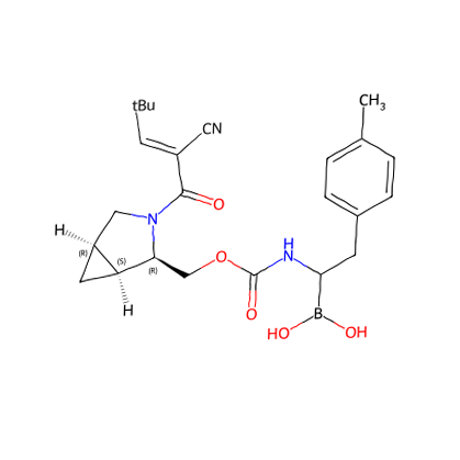 Cc1ccc(CC(NC(=O)OC[C@H]2[C@H]3C[C@H]3CN2C(=O)C(C#N)=CC(C)(C)C)B(O)O)cc1